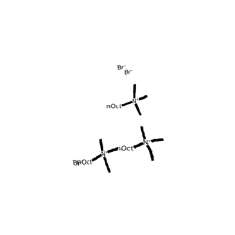 CCCCCCCC[N+](C)(C)C.CCCCCCCC[N+](C)(C)C.CCCCCCCC[N+](C)(C)C.[Br-].[Br-].[Br-]